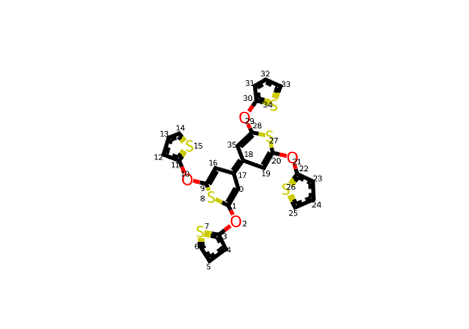 C1=C(Oc2cccs2)SC(Oc2cccs2)=CC1=C1C=C(Oc2cccs2)SC(Oc2cccs2)=C1